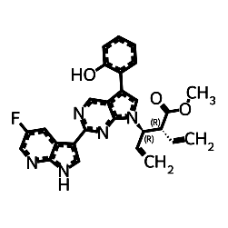 C=C[C@H]([C@@H](C=C)C(=O)OC)n1cc(-c2ccccc2O)c2cnc(-c3c[nH]c4ncc(F)cc34)nc21